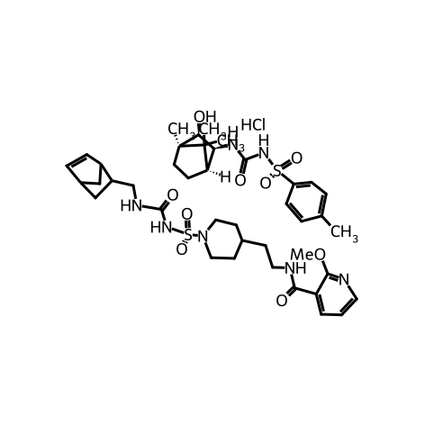 COc1ncccc1C(=O)NCCC1CCN(S(=O)(=O)NC(=O)NCC2CC3C=CC2C3)CC1.Cc1ccc(S(=O)(=O)NC(=O)N[C@H]2[C@H]3CC[C@@](C)([C@H]2O)C3(C)C)cc1.Cl